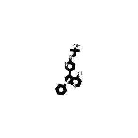 CC(C)(O)COc1ccc(-c2cn(-c3ccccc3)c3nccc(Cl)c23)cn1